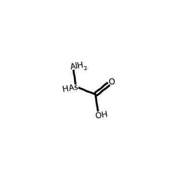 O=C(O)[AsH][AlH2]